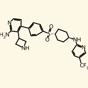 Nc1nccc(-c2ccc(S(=O)(=O)[C@H]3CC[C@H](Nc4ccc(C(F)(F)F)cn4)CC3)cc2)c1C1CNC1